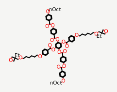 CCCCCCCCOc1ccc(C(=O)Oc2ccc(C(=O)Oc3cc(OC(=O)c4ccc(OCCCCCCOCC5(CC)COC5)cc4)c(OC(=O)c4ccc(OC(=O)c5ccc(OCCCCCCCC)cc5)cc4)cc3OC(=O)c3ccc(OCCCCCCOCC4(CC)COC4)cc3)cc2)cc1